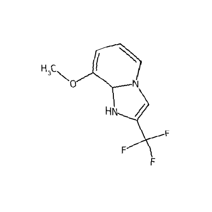 COC1=CC=CN2C=C(C(F)(F)F)NC12